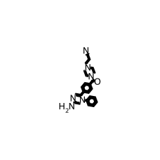 N#CCCN1CCN(C(=O)c2ccc(C3=CN=C(N)CN3c3ccccc3)cc2)CC1